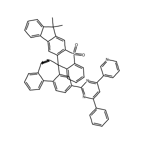 CC1(C)c2ccccc2-c2cc3c(cc21)S(=O)(=O)c1ccccc1C31c2ccccc2-c2ccccc2-c2ccc(-c3nc(-c4ccccc4)cc(-c4cccnc4)n3)cc21